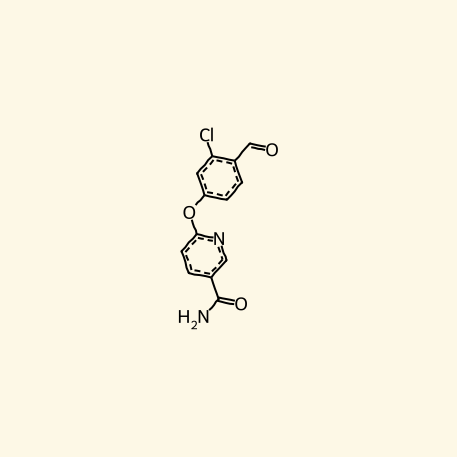 NC(=O)c1ccc(Oc2ccc(C=O)c(Cl)c2)nc1